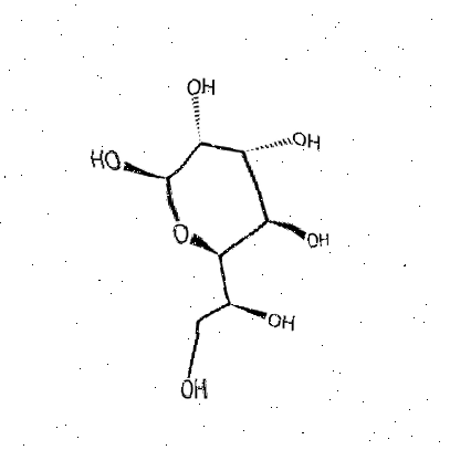 OC[C@H](O)[C@H]1O[C@@H](O)[C@H](O)[C@H](O)[C@H]1O